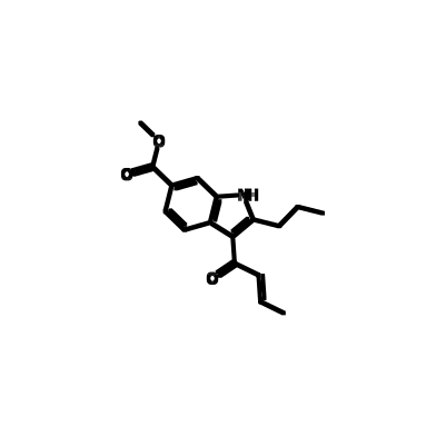 C/C=C/C(=O)c1c(CCC)[nH]c2cc(C(=O)OC)ccc12